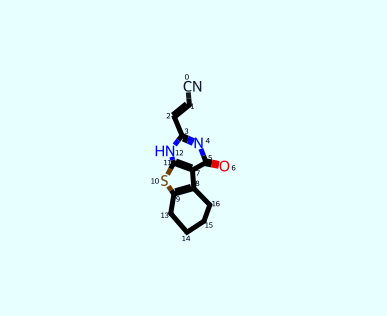 N#CC=Cc1nc(=O)c2c3c(sc2[nH]1)CCCC3